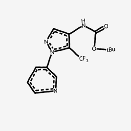 CC(C)(C)OC(=O)Nc1cnn(-c2cccnc2)c1C(F)(F)F